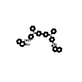 N=C1C=Cc2ccccc2/C1=N/Nc1ccc(N(c2ccccc2)c2ccc(-c3ccc(N(c4ccccc4)c4ccc(-n5nc6ccc7ccccc7c6n5)cc4)cc3)cc2)cc1